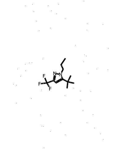 CCCn1nc(C(F)(F)F)cc1C(C)(C)C